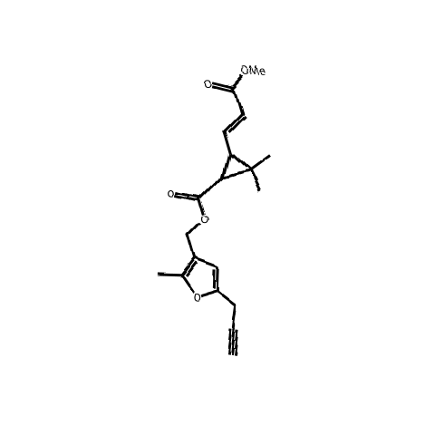 C#CCc1cc(COC(=O)C2C(C=CC(=O)OC)C2(C)C)c(C)o1